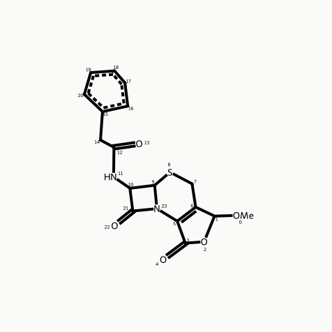 COC1OC(=O)C2=C1CSC1C(NC(=O)Cc3ccccc3)C(=O)N21